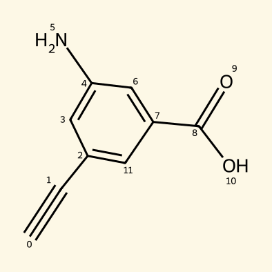 C#Cc1cc(N)cc(C(=O)O)c1